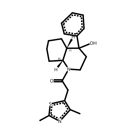 Cc1nc(C)c(CC(=O)N2CCC(O)(c3ccccc3)[C@H]3CCCC[C@H]32)s1